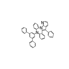 c1ccc(-c2cc(-c3ccccc3)cc(N3c4ccccc4-c4c(-c5ccccc5)c5cccnc5n4-c4ccccc43)c2)cc1